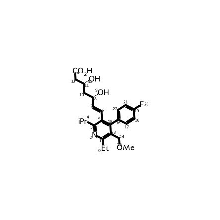 CCc1nc(C(C)C)c(/C=C/[C@@H](O)C[C@@H](O)CC(=O)O)c(-c2ccc(F)cc2)c1COC